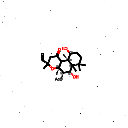 C=CC1(C)CC(=O)C2[C@](C)(O1)[C@@H](OC(C)=O)[C@@H](O)[C@@]1(C)C(C)(C)CC[C@H](O)[C@]21C